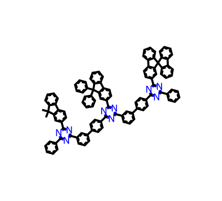 CC1(C)c2ccccc2-c2ccc(-c3nc(-c4ccccc4)nc(-c4cccc(-c5ccc(-c6nc(-c7cccc(-c8ccc(-c9nc(-c%10ccccc%10)nc(-c%10ccc%11c(c%10)C%10(c%12ccccc%12-c%12ccccc%12%10)c%10ccccc%10-%11)n9)cc8)c7)nc(-c7ccc8c(c7)C(c7ccccc7)(c7ccccc7)c7ccccc7-8)n6)cc5)c4)n3)cc21